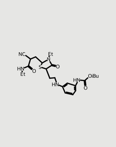 CCNC(=O)C(C#N)CC1SC(CCNc2cccc(NC(=O)OCC(C)C)c2)C(=O)N1CC